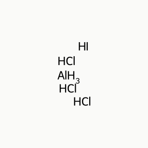 Cl.Cl.Cl.I.[AlH3]